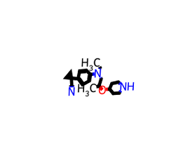 CCN(CC(C)OC1CCNCC1)c1ccc(C2(C#N)CC2)cc1